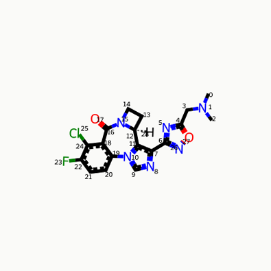 CN(C)Cc1nc(-c2ncn3c2[C@@H]2CCN2C(=O)c2c-3ccc(F)c2Cl)no1